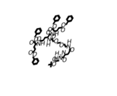 CC(C)(C)OC(=O)CNC(=O)C(N)CC1OC1NCCOCCOCC(=O)NC(CCC(=O)NC(CCC(=O)OCc1ccccc1)C(=O)OCc1ccccc1)C(=O)NC(CCC(=O)OCc1ccccc1)C(=O)OCc1ccccc1